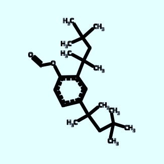 CC(C)(C)CC(C)(C)c1ccc(O[C]=O)c(C(C)(C)CC(C)(C)C)c1